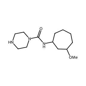 COC1CCCCC(NC(=O)N2CCNCC2)C1